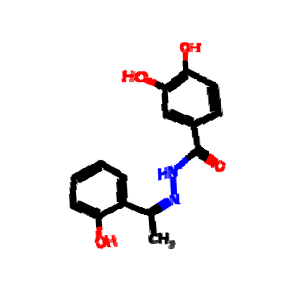 CC(=NNC(=O)c1ccc(O)c(O)c1)c1ccccc1O